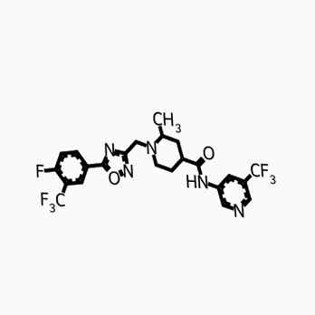 CC1CC(C(=O)Nc2cncc(C(F)(F)F)c2)CCN1Cc1noc(-c2ccc(F)c(C(F)(F)F)c2)n1